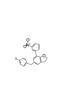 O=[N+]([O-])c1cccc(-c2cc(Cc3ccc(I)cc3)cc3c2OCC3)c1